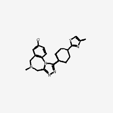 Cc1csc(C2CCC(c3nnc4n3-c3ccc(Cl)cc3CN(C)C4)CC2)n1